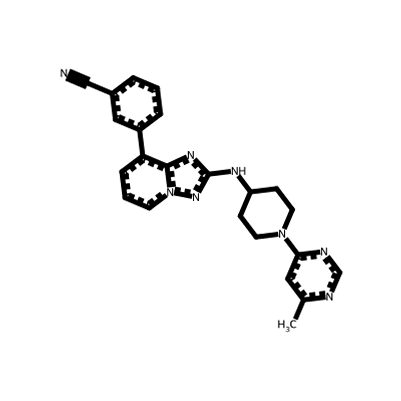 Cc1cc(N2CCC(Nc3nc4c(-c5cccc(C#N)c5)cccn4n3)CC2)ncn1